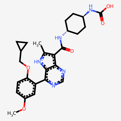 COc1ccc(OCC2CC2)c(-c2ncnc3c(C(=O)N[C@H]4CC[C@H](NC(=O)O)CC4)c(C)[nH]c23)c1